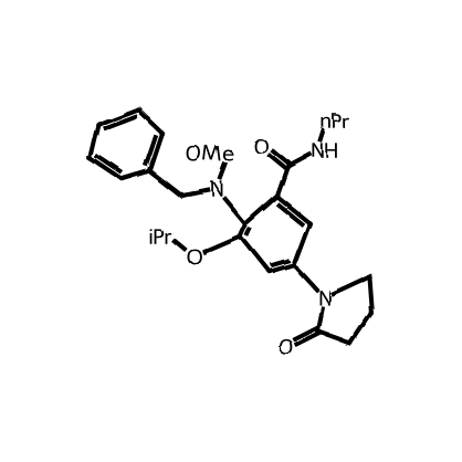 CCCNC(=O)c1cc(N2CCCC2=O)cc(OC(C)C)c1N(Cc1ccccc1)OC